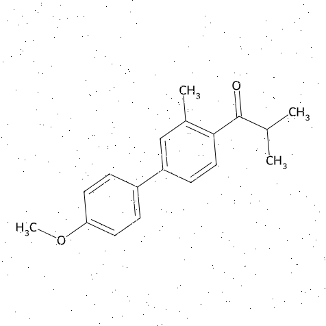 COc1ccc(-c2ccc(C(=O)C(C)C)c(C)c2)cc1